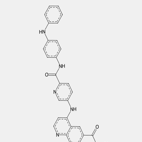 O=C(CO)c1ccc2nccc(Nc3ccc(C(=O)Nc4ccc(Nc5ccccc5)cc4)nc3)c2c1